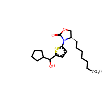 O=C(O)CCCCCC[C@H]1COC(=O)N1c1ccc(C(O)C2CCCC2)s1